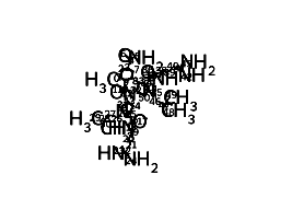 Cc1cc(C(N)=O)ccc1C(=O)N(c1cc(C(=O)NCCCC(=N)N)n(CCC(C)C)c1)c1cc(C(=O)NCCCC(=N)N)n(CCC(C)C)c1